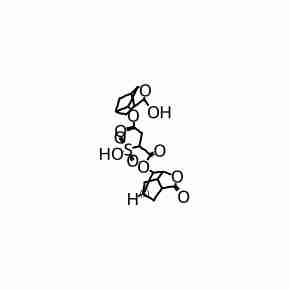 O=C(CC(C(=O)OC1C2OC(=O)C3C[C@@H]1CC32)S(=O)(=O)O)OC1C2CC3C(O)OC1C3C2